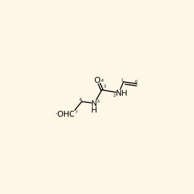 C=CNC(=O)NC[C]=O